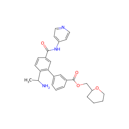 CC(N)c1ccc(C(=O)Nc2ccncc2)cc1-c1cccc(C(=O)OCC2CCCCO2)c1